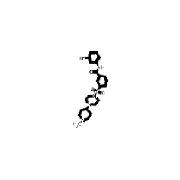 CN1CCC(N2CCN(S(=O)(=O)c3cccc(C(=O)Nc4cccc(Br)c4)c3)CC2)CC1